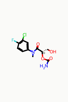 CN(C(=O)[C@H](CO)OC(N)=O)c1ccc(F)c(Cl)c1